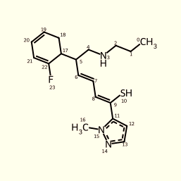 CCCNCC(/C=C/C=C(\S)c1ccnn1C)C1CC=CC=C1F